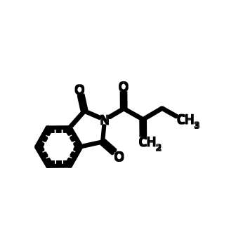 C=C(CC)C(=O)N1C(=O)c2ccccc2C1=O